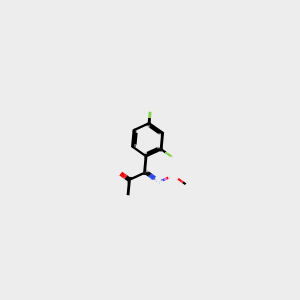 CO/N=C(/C(C)=O)c1ccc(F)cc1F